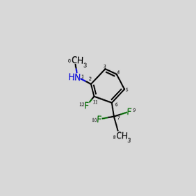 CNc1cccc(C(C)(F)F)c1F